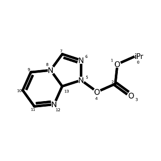 CC(C)OC(=O)ON1N=CN2C=CC=NC21